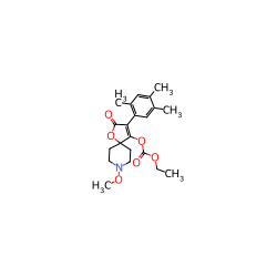 CCOC(=O)OC1=C(c2cc(C)c(C)cc2C)C(=O)OC12CCN(OC)CC2